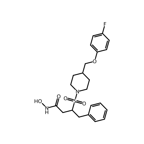 O=C(CC(Cc1ccccc1)S(=O)(=O)N1CCC(COc2ccc(F)cc2)CC1)NO